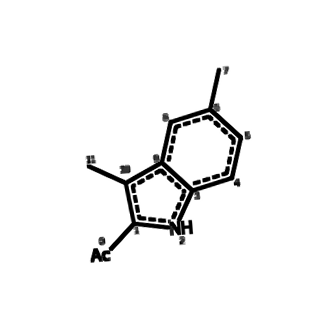 CC(=O)c1[nH]c2ccc(C)cc2c1C